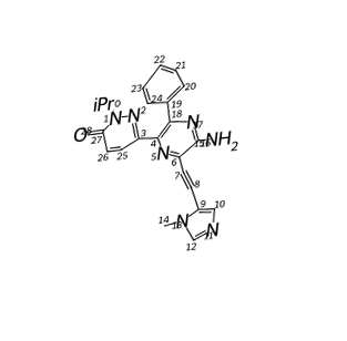 CC(C)n1nc(-c2nc(C#Cc3cncn3C)c(N)nc2-c2ccccc2)ccc1=O